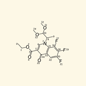 CCOC(=O)c1cn(C(C)C(OC)OC)c2c(F)c(F)c(F)cc2c1=O